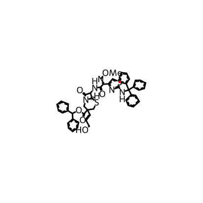 CON=C(C(=O)NC1C(=O)N2CC(C=CCO)(C(=O)OC(c3ccccc3)c3ccccc3)CS[C@H]12)c1csc(NC(c2ccccc2)(c2ccccc2)c2ccccc2)n1